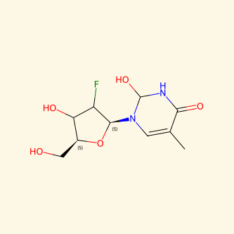 CC1=CN([C@H]2O[C@@H](CO)C(O)C2F)C(O)NC1=O